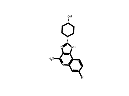 Nc1nc2cc(Br)ccc2c2[nH]c([C@H]3CC[C@@H](O)CC3)nc12